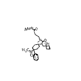 CNC(=O)CCN1C[C@]2(CC[C@](c3ccccc3)(N(C)C)CC2)N(CC2(O)CCC2)C1=O